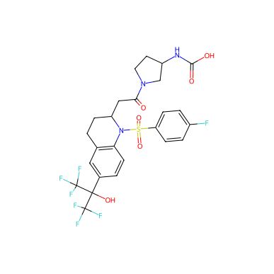 O=C(O)NC1CCN(C(=O)CC2CCc3cc(C(O)(C(F)(F)F)C(F)(F)F)ccc3N2S(=O)(=O)c2ccc(F)cc2)C1